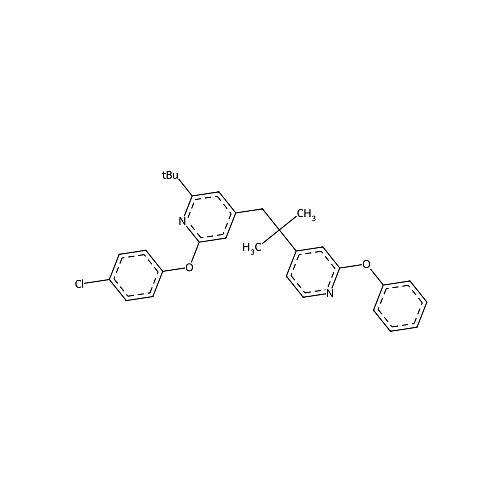 CC(C)(C)c1cc(CC(C)(C)c2ccnc(Oc3ccccc3)c2)cc(Oc2ccc(Cl)cc2)n1